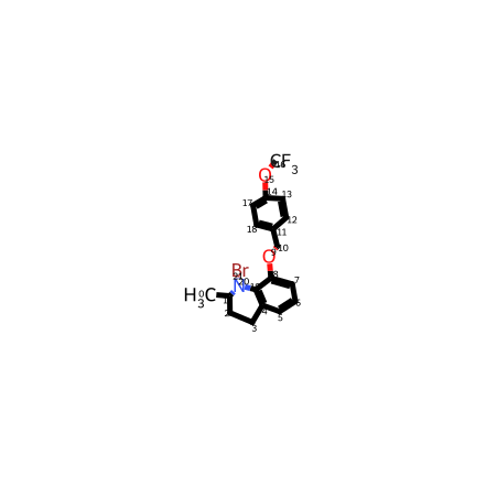 CC1CCc2cccc(OCc3ccc(OC(F)(F)F)cc3)c2N1Br